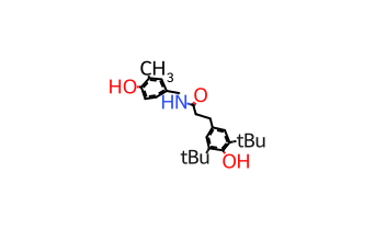 Cc1cc(CNC(=O)CCc2cc(C(C)(C)C)c(O)c(C(C)(C)C)c2)ccc1O